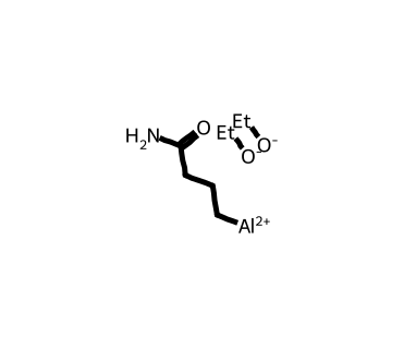 CC[O-].CC[O-].NC(=O)CC[CH2][Al+2]